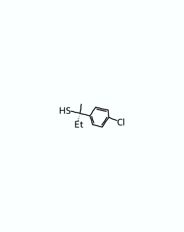 CC[C@@](C)(S)c1ccc(Cl)cc1